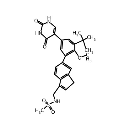 COc1c(-c2ccc3c(c2)CC=C3CNS(C)(=O)=O)cc(-c2c[nH]c(=O)[nH]c2=O)cc1C(C)(C)C